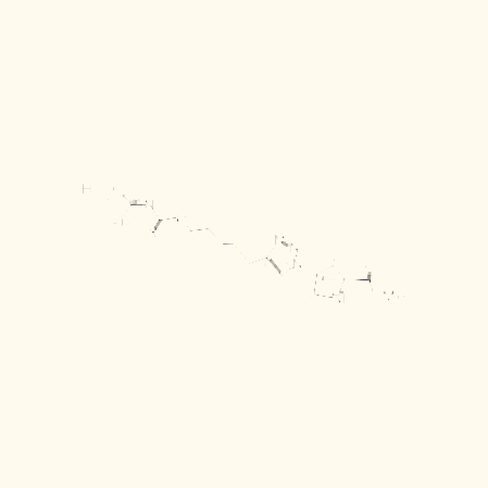 COC(=O)[C@@H]1C[C@@H](n2cc(CCCCCOC(=O)N[C@H](C(=O)O)C(C)(C)C)nn2)CN1